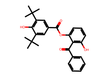 CC(C)(C)c1cc(C(=O)Oc2cccc(O)c2C(=O)c2ccccc2)cc(C(C)(C)C)c1O